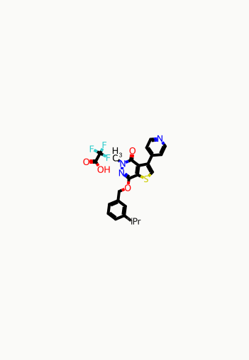 CC(C)c1cccc(COc2nn(C)c(=O)c3c(-c4ccncc4)csc23)c1.O=C(O)C(F)(F)F